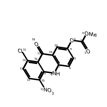 COC(=O)Oc1ccc2[nH]c3c([N+](=O)[O-])ccc(Cl)c3c(=O)c2c1